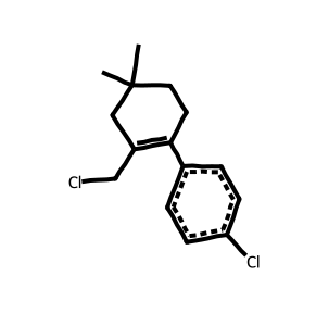 CC1(C)CCC(c2ccc(Cl)cc2)=C(CCl)C1